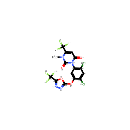 Cn1c(C(F)(F)F)cc(=O)n(-c2cc(Oc3nnc(C(F)(F)F)o3)c(Cl)cc2Cl)c1=O